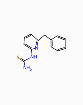 NC(=S)Nc1cccc(Cc2ccccc2)n1